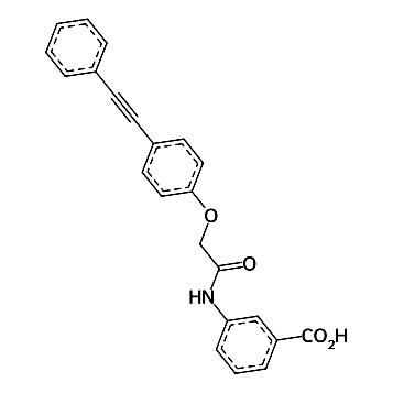 O=C(COc1ccc(C#Cc2ccccc2)cc1)Nc1cccc(C(=O)O)c1